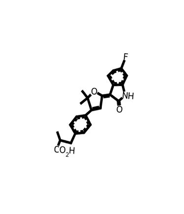 CC(Cc1ccc(C2=C/C(=C3\C(=O)Nc4cc(F)ccc43)OC2(C)C)cc1)C(=O)O